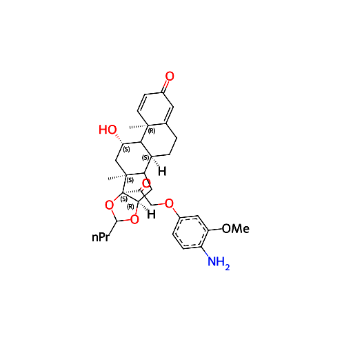 CCCC1O[C@@H]2CC3[C@@H]4CCC5=CC(=O)C=C[C@]5(C)C4[C@@H](O)C[C@]3(C)[C@]2(C(=O)COc2ccc(N)c(OC)c2)O1